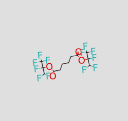 O=C(CCCCC(=O)OC(F)(C(F)F)C(F)(F)F)OC(F)(C(F)F)C(F)(F)F